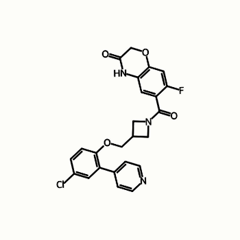 O=C1COc2cc(F)c(C(=O)N3CC(COc4ccc(Cl)cc4-c4ccncc4)C3)cc2N1